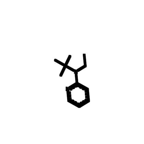 CCN(c1ccccn1)C(C)(C)C